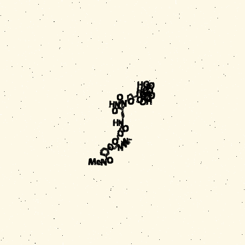 CNC(=O)c1cccc(OCC(N=[N+]=[N-])OCCOCC(=O)NCC#Cc2cn([C@H]3CC[C@@H](COP(=O)(O)OP(=O)(O)OP(=O)(O)O)O3)c(=O)[nH]c2=O)c1